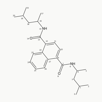 CC(C)CC(C)NC(=O)c1ccc(C(=O)NC(C)CC(C)C)c2ccccc12